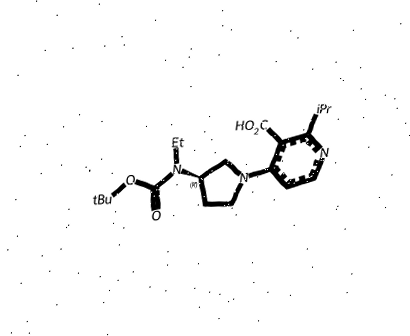 CCN(C(=O)OC(C)(C)C)[C@@H]1CCN(c2ccnc(C(C)C)c2C(=O)O)C1